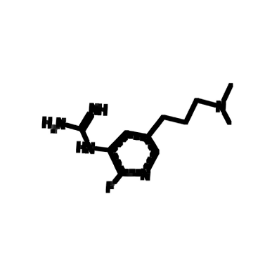 CN(C)CCCc1cnc(F)c(NC(=N)N)c1